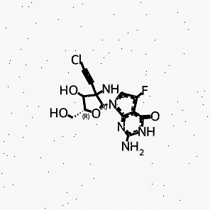 Nc1nc2c(c(F)cn2[C@@H]2O[C@H](CO)C(O)C2(N)C#CCl)c(=O)[nH]1